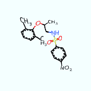 Cc1cccc(C)c1OC(C)CNS(=O)(=O)c1ccc([N+](=O)[O-])cc1